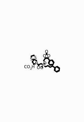 O=C(O)C1CC2(CN1C(=O)CP(=O)(CCCCc1ccccc1)OCc1oc(=O)oc1-c1ccccc1)SCCS2